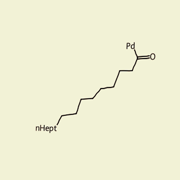 CCCCCCCCCCCCCCC[C](=O)[Pd]